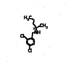 CCC[C@@H](C)NCc1ccc(Cl)cc1Cl